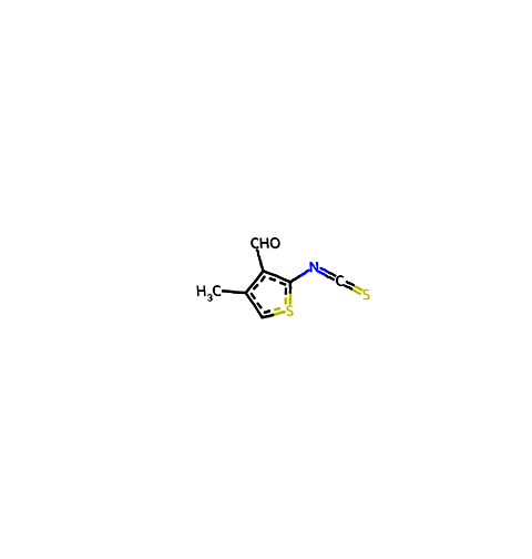 Cc1csc(N=C=S)c1C=O